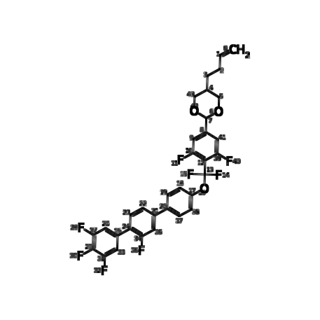 C=CCCC1COC(c2cc(F)c(C(F)(F)Oc3ccc(-c4ccc(-c5cc(F)c(F)c(F)c5)c(F)c4)cc3)c(F)c2)OC1